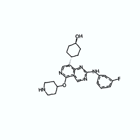 O[C@H]1CC[C@H](c2cnc(OC3CCNCC3)c3cnc(Nc4cccc(F)c4)nc32)CC1